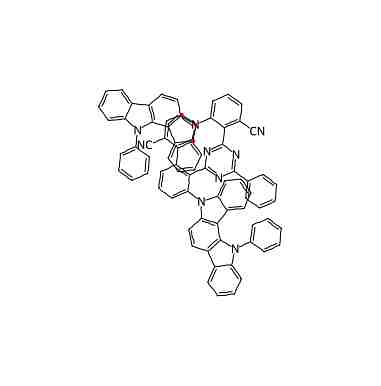 N#Cc1ccccc1-c1cccc(-n2c3ccccc3c3c2ccc2c4ccccc4n(-c4ccccc4)c23)c1-c1nc(-c2ccccc2)nc(-c2c(C#N)cccc2-n2c3ccccc3c3c2ccc2c4ccccc4n(-c4ccccc4)c23)n1